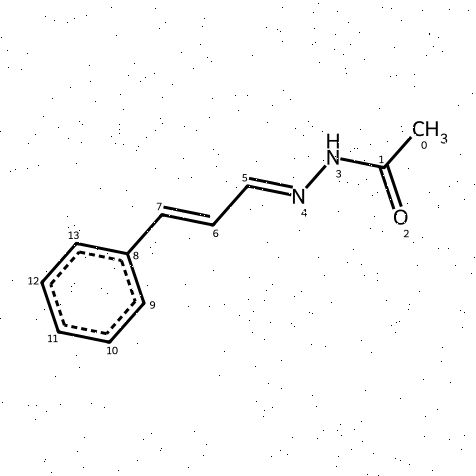 CC(=O)NN=CC=Cc1ccccc1